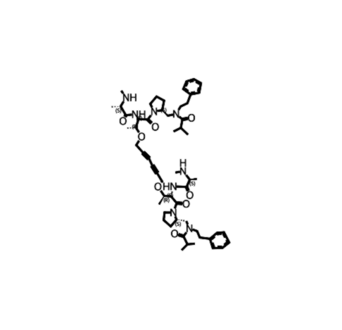 CN[C@@H](C)C(=O)N[C@H](C(=O)N1CCC[C@H]1CN(CCc1ccccc1)C(=O)C(C)C)[C@@H](C)OCC#CC#CCO[C@H](C)[C@H](NC(=O)[C@H](C)NC)C(=O)N1CCC[C@H]1CN(CCc1ccccc1)C(=O)C(C)C